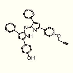 C#CCOc1ccc(C2=NC(=Nc3[nH]c(-c4ccc(O)cc4)cc3-c3ccccc3)C(c3ccccc3)=C2)cc1